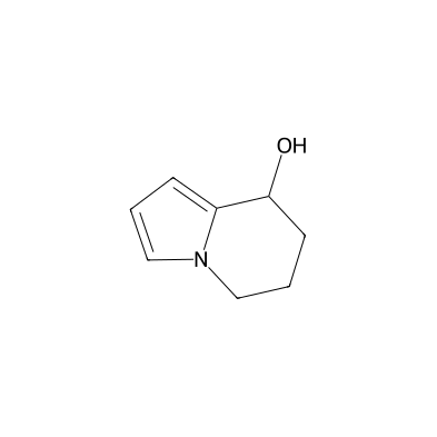 OC1CCCn2cccc21